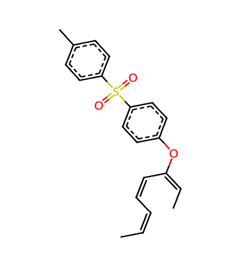 C\C=C/C=C\C(=C/C)Oc1ccc(S(=O)(=O)c2ccc(C)cc2)cc1